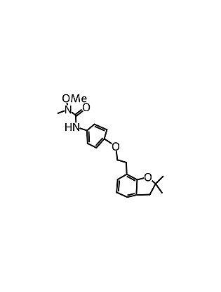 CON(C)C(=O)Nc1ccc(OCCc2cccc3c2OC(C)(C)C3)cc1